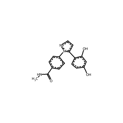 CNC(=O)c1ccc(-n2nccc2-c2ccc(O)cc2O)cc1